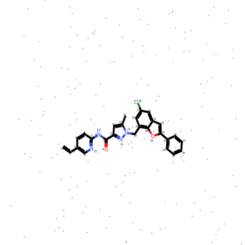 C=Cc1ccc(NC(=O)c2cc(C)n(Cc3cc(Cl)cc4cc(-c5ccccc5)oc34)n2)nc1